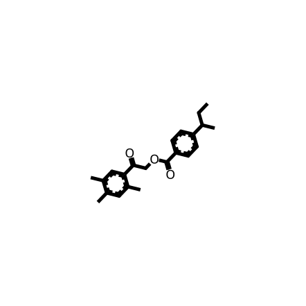 CCC(C)c1ccc(C(=O)OCC(=O)c2cc(C)c(C)cc2C)cc1